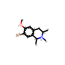 COc1cc2c(cc1Br)C(C)N(C)C(C)C2